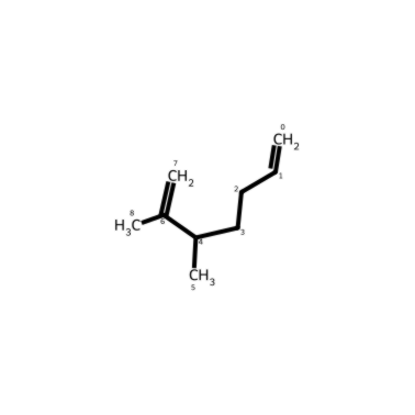 C=CCCC(C)C(=C)C